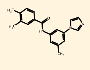 Cc1cc(NC(=O)c2ccc(C)c(C)c2)cc(-n2ccnc2)c1